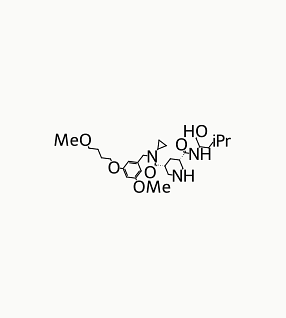 COCCCCOc1cc(CN(C(=O)[C@H]2CNC[C@@H](C(=O)NC(CO)CC(C)C)C2)C2CC2)cc(OC)c1